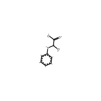 O=C(Cl)C(Cl)Sc1ccccc1